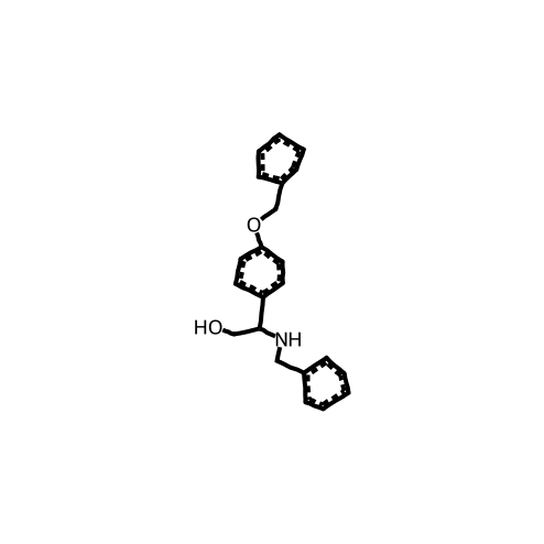 OCC(NCc1ccccc1)c1ccc(OCc2ccccc2)cc1